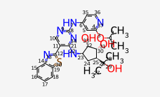 CC(C)Oc1cc(Nc2ncc(-c3nc4ccccc4s3)c(N[C@@H]3C[C@H](C(C)(C)O)[C@@H](O)[C@H]3O)n2)ccn1